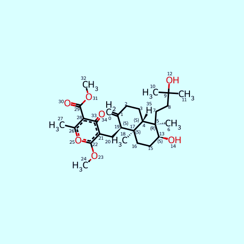 C=C1CC[C@@H]2[C@@](C)(CCC(C)(C)O)[C@@H](O)CC[C@@]2(C)[C@H]1Cc1c(OC)oc(C)c(C(=O)OC)c1=O